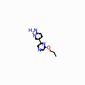 CCCOc1cncc(-c2ccc(N)nc2)n1